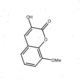 COc1cccc2cc(O)c(=O)oc12